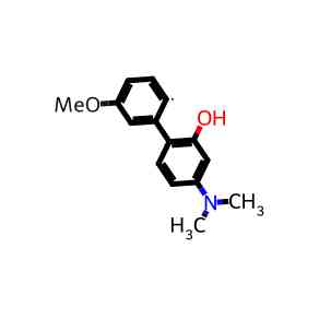 COc1cc[c]c(-c2ccc(N(C)C)cc2O)c1